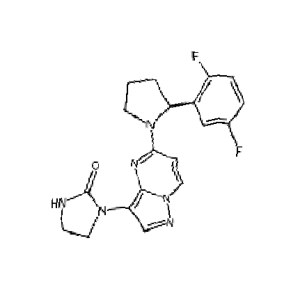 O=C1NCCN1c1cnn2ccc(N3CCCC3c3cc(F)ccc3F)nc12